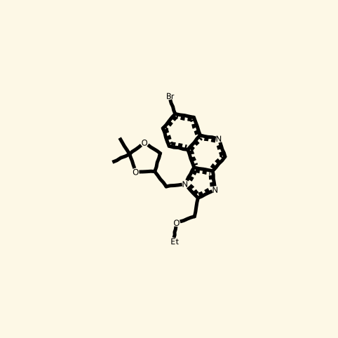 CCOCc1nc2cnc3cc(Br)ccc3c2n1CC1COC(C)(C)O1